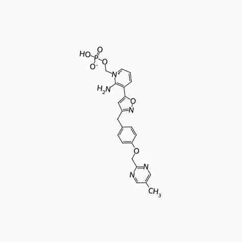 Cc1cnc(COc2ccc(Cc3cc(-c4ccc[n+](COP(=O)([O-])O)c4N)on3)cc2)nc1